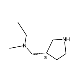 CCN(C)C[C@H]1CCNC1